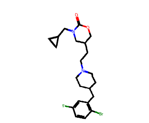 O=C1OCC(CCN2CCC(Cc3cc(F)ccc3Br)CC2)CN1CC1CC1